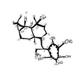 CC(C)C[C@H](c1c(O)c(C=O)c(O)c(C=O)c1O)[C@@H]1CC[C@@](C)(O)[C@@H]2[C@@H]3C(CC[C@]21C)C3(C)C